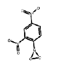 O=[N+]([O-])c1ccc(-n2oo2)c([N+](=O)[O-])c1